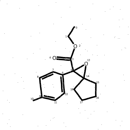 CCOC(=O)C1(c2ccc(C)cc2)OC12CCCC2